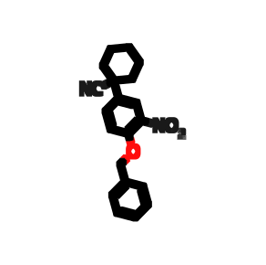 N#CC1(c2ccc(OCc3ccccc3)c([N+](=O)[O-])c2)CCCCC1